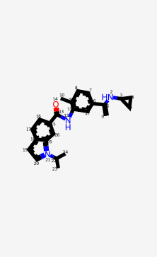 C=C(NC1CC1)c1ccc(C)c(NC(=O)c2ccc3ccn(C(C)C)c3c2)c1